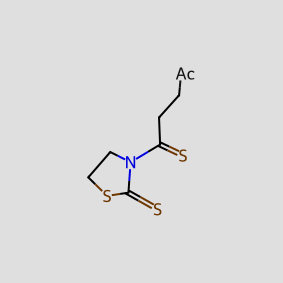 CC(=O)CCC(=S)N1CCSC1=S